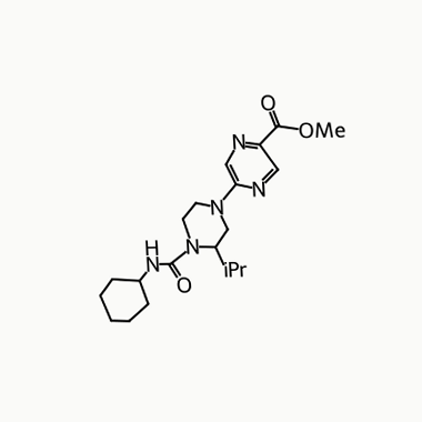 COC(=O)c1cnc(N2CCN(C(=O)NC3CCCCC3)C(C(C)C)C2)cn1